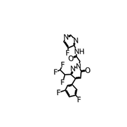 O=C(Cn1nc(C(F)C(F)F)c(-c2cc(F)cc(F)c2)cc1=O)Nc1ncncc1F